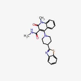 CNC(=O)c1c(N2CCC(c3nc4ccccc4s3)CC2)c2ccccc2n(C)c1=O